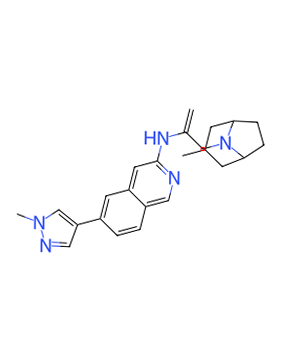 C=C(CN1C2CCC1CC(C)C2)Nc1cc2cc(-c3cnn(C)c3)ccc2cn1